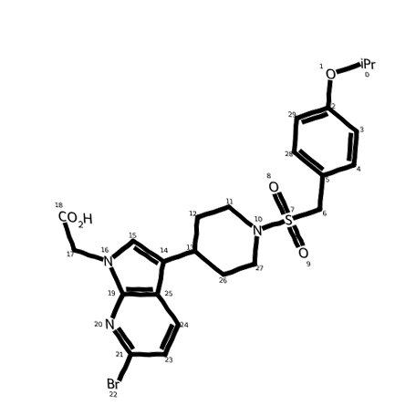 CC(C)Oc1ccc(CS(=O)(=O)N2CCC(c3cn(CC(=O)O)c4nc(Br)ccc34)CC2)cc1